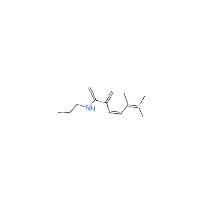 C=C(/C=C\C(C)=C(C)C)C(=C)NCCC